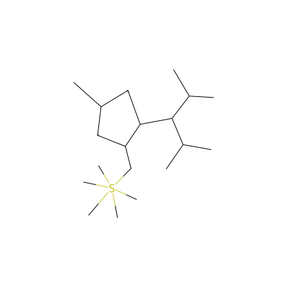 CC1CC(CS(C)(C)(C)(C)C)C(C(C(C)C)C(C)C)C1